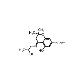 CCCCCc1cc(O)c2c(c1)OC(C)(C)CC2=NCC(C)O